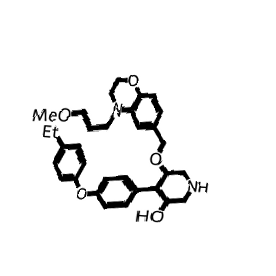 CCc1ccc(Oc2ccc(C3C(O)CNCC3OCc3ccc4c(c3)N(CCCOC)CCO4)cc2)cc1